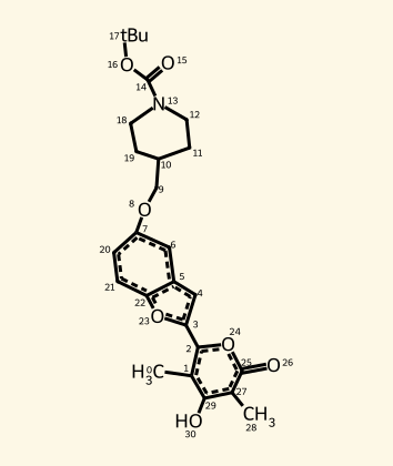 Cc1c(-c2cc3cc(OCC4CCN(C(=O)OC(C)(C)C)CC4)ccc3o2)oc(=O)c(C)c1O